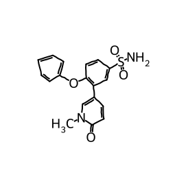 Cn1cc(-c2cc(S(N)(=O)=O)ccc2Oc2ccccc2)ccc1=O